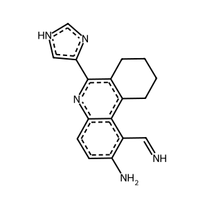 N=Cc1c(N)ccc2nc(-c3c[nH]cn3)c3c(c12)CCCC3